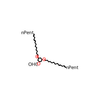 CCCCCC=CCC=CCCCCCCCCOC1CC(OC=O)CC(OCCCCCCCCC=CCC=CCCCCC)C1